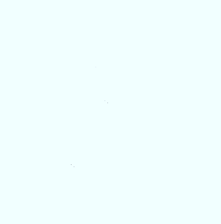 CC(=O)O/N=C(\C)C1CCCCC1C#N